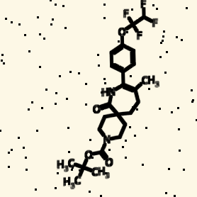 CC1=C(c2ccc(OC(F)(F)C(F)F)cc2)NC(=O)C2(CC1)CCN(C(=O)OC(C)(C)C)CC2